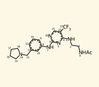 CC(=O)NCCNc1nc(Nc2cccc(CN3CCCC3)c2)ncc1C(F)(F)F